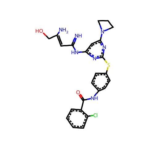 N=C(/C=C(\N)CO)Nc1cc(N2CCC2)nc(Sc2ccc(NC(=O)c3ccccc3Cl)cc2)n1